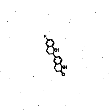 O=C1CCc2cc(C3CCc4cc(F)ccc4N3)ccc2N1